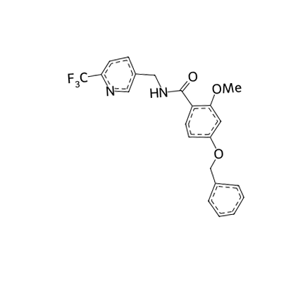 COc1cc(OCc2ccccc2)ccc1C(=O)NCc1ccc(C(F)(F)F)nc1